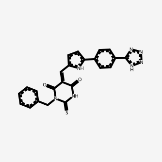 O=C1NC(=S)N(Cc2ccccc2)C(=O)C1=Cc1ccc(-c2ccc(-c3nnn[nH]3)cc2)[nH]1